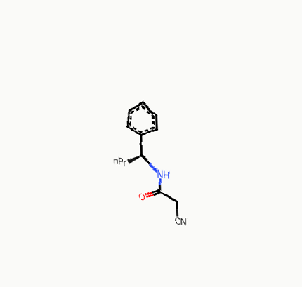 CCC[C@H](NC(=O)CC#N)c1ccccc1